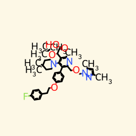 Cc1cc(C)n(COCc2nc(C)c([C@H](OC(C)(C)C)C(=O)O)c(N3CCC(C)(C)CC3)c2-c2ccc(OCCc3ccc(F)cc3)cc2)n1